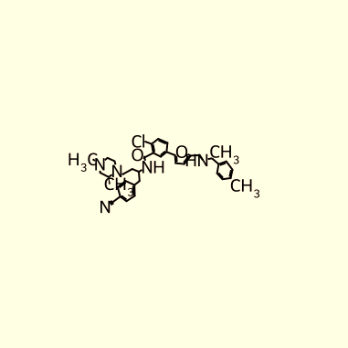 Cc1ccc(C(C)NCc2ccc(-c3ccc(Cl)c(C(=O)NC(CCN4CCN(C)C[C@@H]4C)Cc4ccc(C#N)cc4)c3)o2)cc1